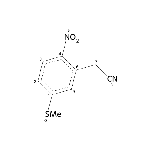 CSc1ccc([N+](=O)[O-])c(CC#N)c1